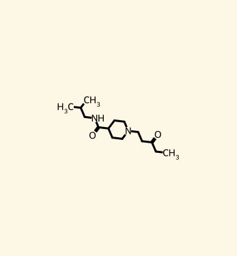 CCC(=O)CCN1CCC(C(=O)NCC(C)C)CC1